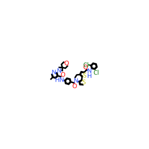 Cc1cnc(N2CC3(CCOCC3)C2)c(C(=O)Nc2ccc(C(=O)N3CCc4cc(C(=O)Nc5c(Cl)cccc5Cl)sc4-c4sccc43)cc2)c1